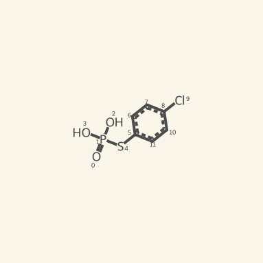 O=P(O)(O)Sc1ccc(Cl)cc1